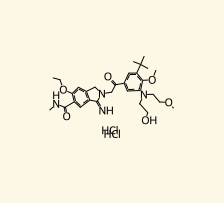 CCOc1cc2c(cc1C(=O)NC)C(=N)N(CC(=O)c1cc(N(CCO)CCOC)c(OC)c(C(C)(C)C)c1)C2.Cl.Cl